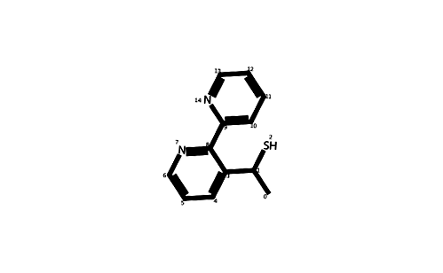 CC(S)c1cccnc1-c1ccccn1